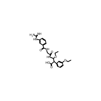 CCOc1cccc(C(C(=O)O)C(NC(=O)CNC(=O)c2cccc(NC(=N)N)c2)OCC)c1